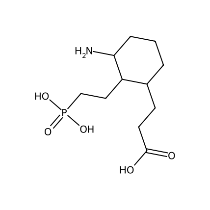 NC1CCCC(CCC(=O)O)C1CCP(=O)(O)O